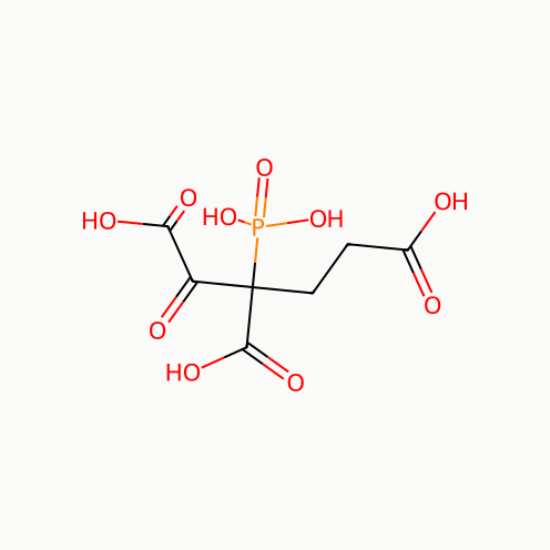 O=C(O)CCC(C(=O)O)(C(=O)C(=O)O)P(=O)(O)O